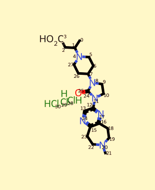 CC(CC(=O)O)N1CCC(N2CCN(c3cnc4c(n3)CCN(C)CC4)C2=O)CC1.Cl.Cl.Cl